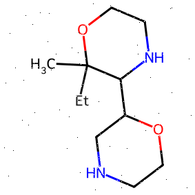 CCC1(C)OCCNC1C1CNCCO1